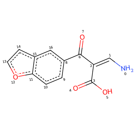 NC=C(C(=O)O)C(=O)c1ccc2occc2c1